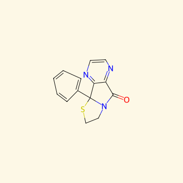 O=C1c2nccnc2C2(c3ccccc3)SCCN12